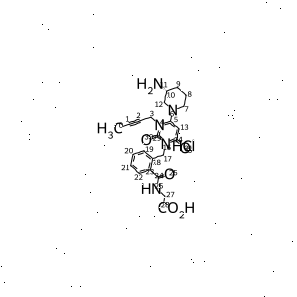 CC#CCn1c(N2CCC[C@@H](N)C2)cc(=O)n(Cc2ccccc2C(=O)NCC(=O)O)c1=O.Cl